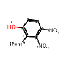 CCCC(C)c1c(O)ccc([N+](=O)[O-])c1[N+](=O)[O-]